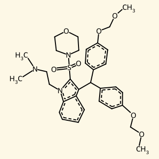 COCOc1ccc(C(c2ccc(OCOC)cc2)c2c(S(=O)(=O)N3CCOCC3)n(CCN(C)C)c3ccccc23)cc1